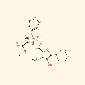 COC1C(O)[C@H](C2CCCCC2)O[C@@H]1COP(=O)(N[C@@H](C)C(=O)OC(C)C)Oc1ccccc1